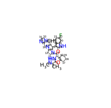 CNC(C)C(=O)NC(C(=O)N1CCC2C1C(c1c[nH]c3cc(F)ccc13)CN2Cc1nccn1C)C1CCCCC1